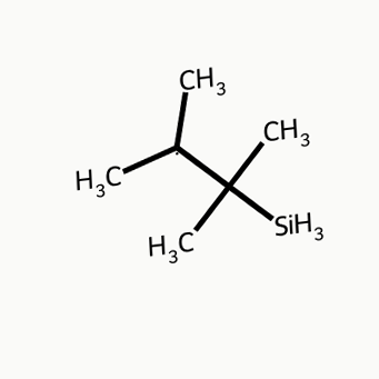 C[C](C)C(C)(C)[SiH3]